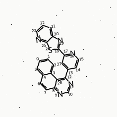 c1ccc2c(c1)ccc1ncnc(-c3ccnc(-c4nc5cccnc5s4)c3)c12